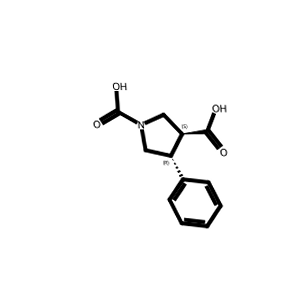 O=C(O)[C@@H]1CN(C(=O)O)C[C@H]1c1ccccc1